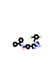 O=C(NCC(c1ccccc1)c1ccccc1)c1ccc(-c2cnc3c(c2)N(Cc2cc(Cl)ccc2C(F)(F)F)CCN3)cc1